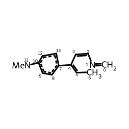 C=N/C=C\C(=C/C)c1ccc(NC)cc1